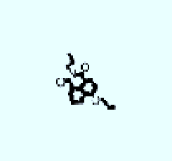 C=CCOc1ccc2c3c(cccc13)C(=O)N(CCC)C2=O